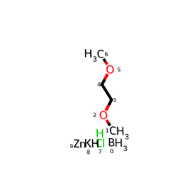 B.COCCOC.Cl.[KH].[Zn]